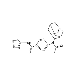 CC(=O)N(c1ccc(C(=O)Nc2nccs2)cc1)C1C2CC3CC(C2)CC1C3